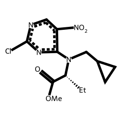 CC[C@H](C(=O)OC)N(CC1CC1)c1nc(Cl)ncc1[N+](=O)[O-]